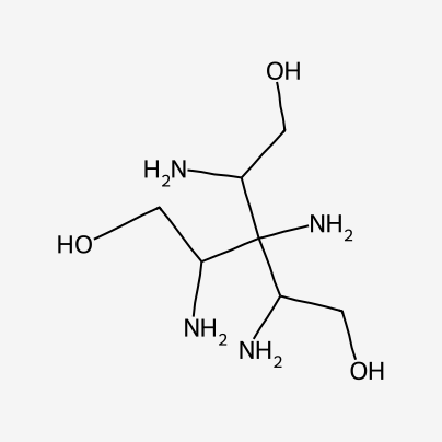 NC(CO)C(N)(C(N)CO)C(N)CO